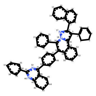 C1=CCCC(c2c(-c3cccc4ccccc34)nn3c(-c4ccccc4)c(-c4ccc(-c5nc(-c6ccccc6)nc6ccccc56)cc4)c4ccccc4c23)=C1